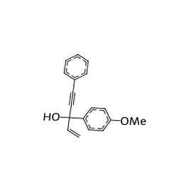 C=CC(O)(C#Cc1ccccc1)c1ccc(OC)cc1